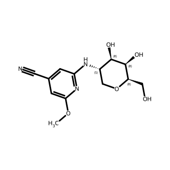 COc1cc(C#N)cc(N[C@H]2CO[C@H](CO)[C@H](O)[C@@H]2O)n1